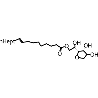 CCCCCCC/C=C/CCCCCCCC(=O)OCC(O)[C@H]1OC[C@H](O)[C@H]1O